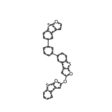 c1cc(-c2ccc3sc4occc4c3c2)cc(-c2ccc3sc4oc(Oc5cc6c(o5)sc5ccccc56)cc4c3c2)c1